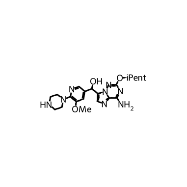 CCC[C@H](C)Oc1nc(N)c2ncc(C(O)c3cnc(N4CCNCC4)c(OC)c3)n2n1